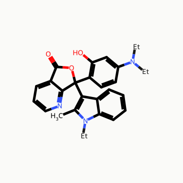 CCN(CC)c1ccc(C2(c3c(C)n(CC)c4ccccc34)OC(=O)c3cccnc32)c(O)c1